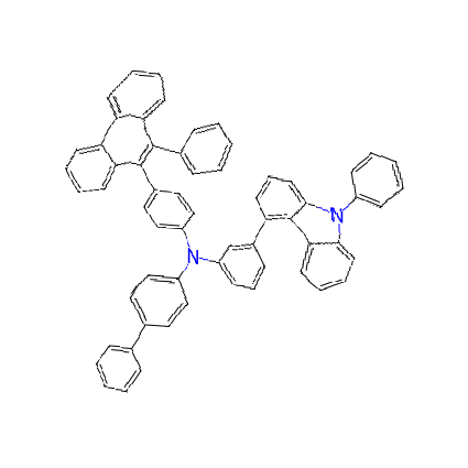 c1ccc(-c2ccc(N(c3ccc(-c4c(-c5ccccc5)c5ccccc5c5ccccc45)cc3)c3cccc(-c4cccc5c4c4ccccc4n5-c4ccccc4)c3)cc2)cc1